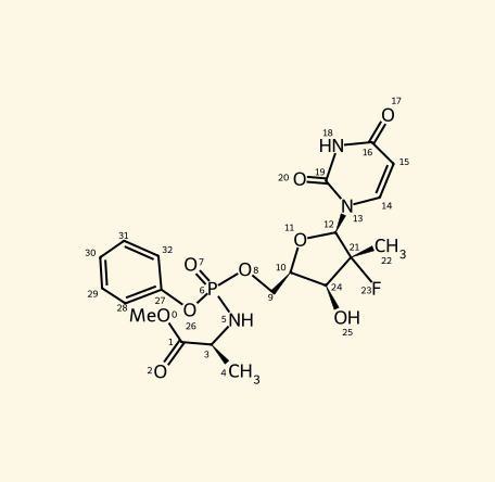 COC(=O)[C@H](C)NP(=O)(OC[C@H]1O[C@@H](n2ccc(=O)[nH]c2=O)[C@](C)(F)[C@H]1O)Oc1ccccc1